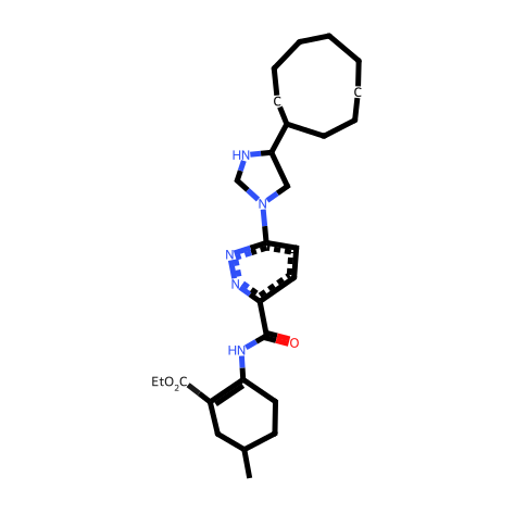 CCOC(=O)C1=C(NC(=O)c2ccc(N3CNC(C4CCCCCCCC4)C3)nn2)CCC(C)C1